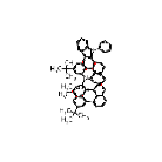 CC(C)(C)c1cc(-c2cccc3cccc(-c4ccccc4N(c4ccccc4-c4ccc5c6ccccc6n(-c6ccccc6)c5c4)c4cc(C(C)(C)C)ccc4-c4ccccc4)c23)cc(C(C)(C)C)c1